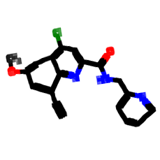 C#Cc1cc(OC(F)(F)F)cc2c(Cl)cc(C(=O)NCc3ccccn3)nc12